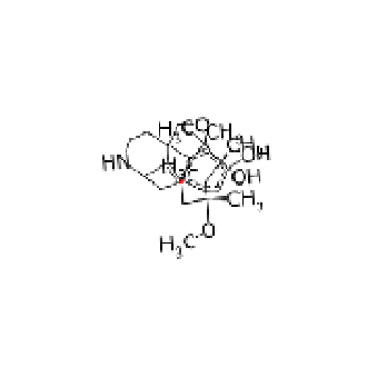 CO[C@]1(C)C/C(=C2\C3Cc4ccc(O)c5c4C2(CCN3)CO5)[C@@H]1[C@@](C)(O)C(C)(C)C